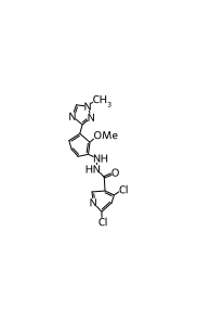 COc1c(NNC(=O)c2cnc(Cl)cc2Cl)cccc1-c1ncn(C)n1